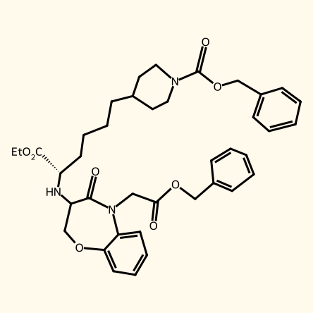 CCOC(=O)[C@H](CCCCC1CCN(C(=O)OCc2ccccc2)CC1)NC1COc2ccccc2N(CC(=O)OCc2ccccc2)C1=O